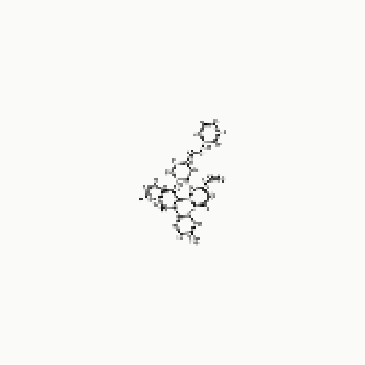 CSc1nccc(-c2c(-c3ccc(F)cc3)nc3[nH]ncc3c2-c2ccc(OCc3ccccc3)cc2)n1